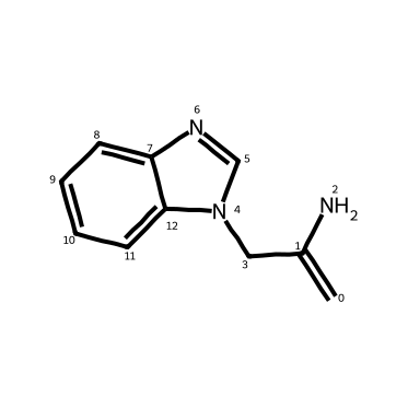 C=C(N)Cn1cnc2ccccc21